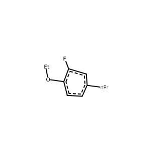 CCCc1ccc(OCC)c(F)c1